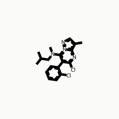 Cc1cnn2c(N(C)CC(C)C)c(-c3ccccc3Cl)c(Cl)nc12